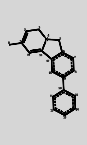 CC1=CCN2Cc3ccc(-c4ccccc4)cc3C2=C1